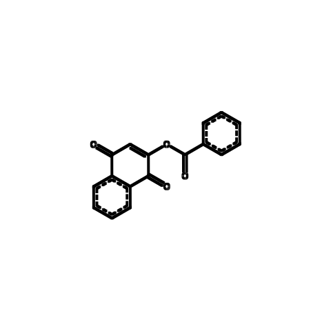 O=C(OC1=CC(=O)c2ccccc2C1=O)c1ccccc1